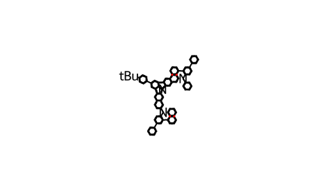 CC(C)(C)c1ccc(-c2cc3c4cc5ccc(N(c6ccccc6)c6ccc(-c7ccccc7)cc6-c6ccccc6)cc5cc4n4c5cc6cc(N(c7ccccc7)c7ccc(-c8ccccc8)cc7-c7ccccc7)ccc6cc5c(c2)c34)cc1